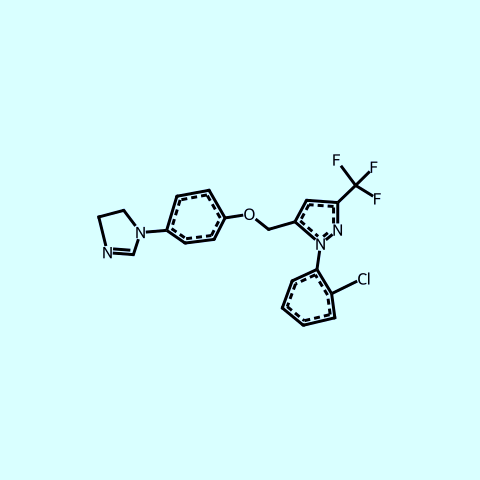 FC(F)(F)c1cc(COc2ccc(N3C=NCC3)cc2)n(-c2ccccc2Cl)n1